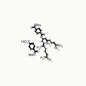 COC(=O)c1ccc(C(=O)O)cc1.COC(=O)c1ccc(C(=O)OC(/C=C(\C)CCC=C(C)C)C/C=C(\C)CCC=C(C)C)cc1